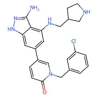 Nc1n[nH]c2cc(-c3ccc(=O)n(Cc4cccc(Cl)c4)c3)cc(NCC3CCNC3)c12